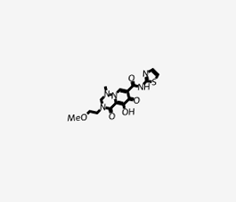 COCCN1CN(C)n2cc(C(=O)Nc3nccs3)c(=O)c(O)c2C1=O